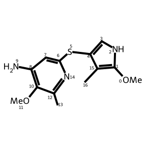 COc1[nH]cc(Sc2cc(N)c(OC)c(C)n2)c1C